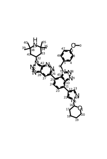 COc1ccc(Cn2nnc3c(-c4cnn(C5CCCCO5)c4)ccc(-c4cc5nnn(C6CC(C)(C)NC(C)(C)C6)c5nn4)c32)cc1